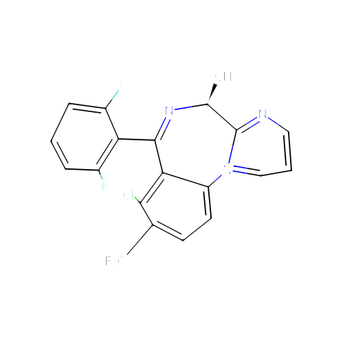 C[C@@H]1N=C(c2c(F)cccc2F)c2c(ccc(C(F)(F)F)c2Cl)-[n+]2cccnc21